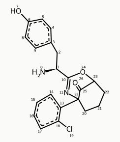 N[C@@H](Cc1ccc(O)cc1)C1=NC2(c3ccccc3Cl)CCCC(O1)C2=O